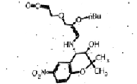 CCCCO/C(=C/N[C@H]1c2cc([N+](=O)[O-])ccc2OC(C)(C)[C@@H]1O)COCC=C=O